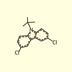 CC(C)(C)n1c2ccc(Cl)cc2c2cc(Cl)ccc21